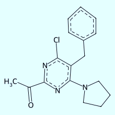 CC(=O)c1nc(Cl)c(Cc2ccccc2)c(N2CCCC2)n1